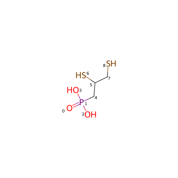 O=P(O)(O)CC(S)CS